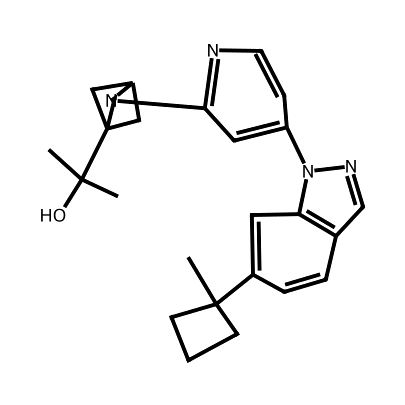 CC1(c2ccc3cnn(-c4ccnc(N5CC6(C(C)(C)O)CC5C6)c4)c3c2)CCC1